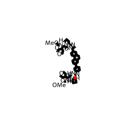 COC(=O)NC(C(=O)N1CCC[C@H]1c1ncc(-c2ccc3c(c2)CCc2cc(-c4ccc5nc([C@@H]6[C@H]7CC[C@H](C7)N6C(=O)[C@@H](NC(=O)OC)C6CCOCC6)[nH]c5c4)ccc2-3)[nH]1)C1CCOCC1